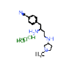 CN1CC[C@@H](NCCC(N)Cc2ccc(C#N)cc2)C1.Cl.Cl.Cl